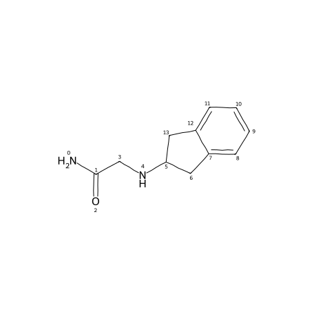 NC(=O)CNC1Cc2ccccc2C1